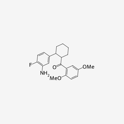 COc1ccc(OC)c(C(=O)C2CCCCC2c2ccc(F)c(N)c2)c1